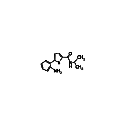 CC(C)NC(=O)c1ccc(-c2ccccc2N)s1